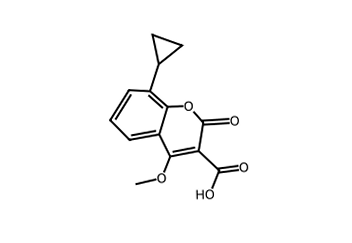 COc1c(C(=O)O)c(=O)oc2c(C3CC3)cccc12